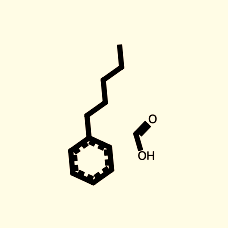 CCCCCc1ccccc1.O=CO